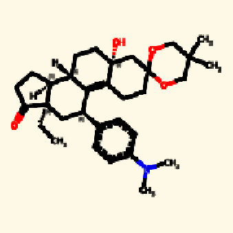 CC[C@@]12C[C@H](c3ccc(N(C)C)cc3)C3=C4CCC5(C[C@]4(O)CC[C@H]3[C@@H]1CCC2=O)OCC(C)(C)CO5